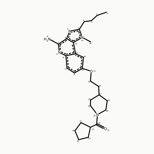 CCCCc1nc2c(N)nc3ccc(OCCC4CCN(C(=O)C5CCCC5)CC4)cc3c2n1C